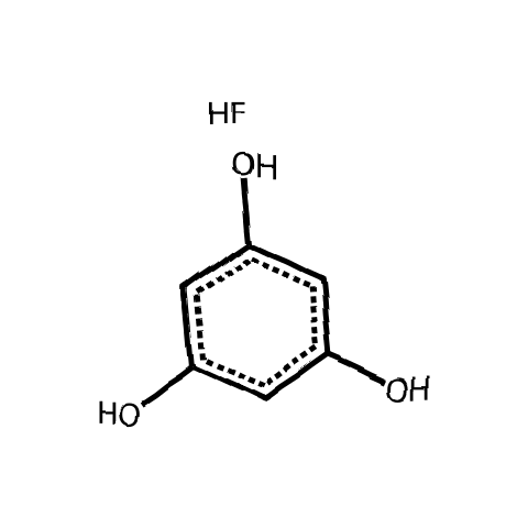 F.Oc1cc(O)cc(O)c1